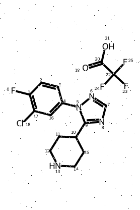 Fc1ccc(-n2ncnc2C2CCNCC2)cc1Cl.O=C(O)C(F)(F)F